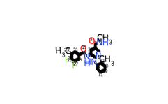 CNC(=O)c1cnc(Nc2ccccc2C)c(NC(=O)c2cc(C)c(F)c(F)c2)c1